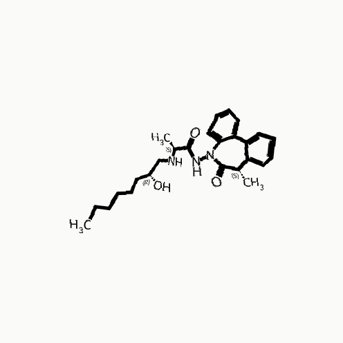 CCCCCC[C@@H](O)CN[C@@H](C)C(=O)NN1C(=O)[C@@H](C)c2ccccc2-c2ccccc21